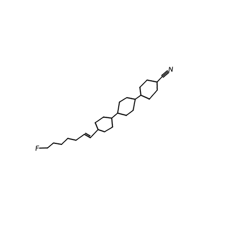 N#CC1CCC(C2CCC(C3CCC(/C=C/CCCCCF)CC3)CC2)CC1